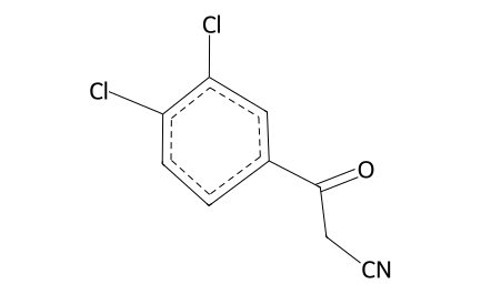 N#CCC(=O)c1ccc(Cl)c(Cl)c1